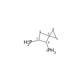 PC1CC2(CC2)C1P